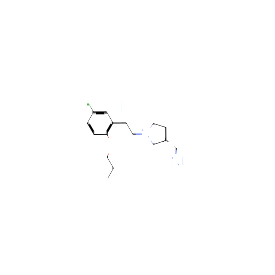 CCCOc1ccc(Cl)cc1CCN1CC[C@@H](CN)C1.Cl